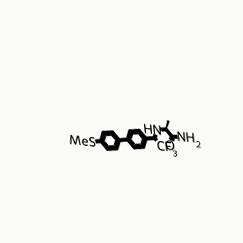 CSc1ccc(-c2ccc(C(N[C@@H](C)C(N)=O)C(F)(F)F)cc2)cc1